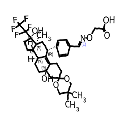 CC1(C)COC2(CCC3=C4[C@@H](CC[C@@]3(O)C2)[C@@H]2CC[C@@](O)(C(F)(F)C(F)(F)F)[C@@]2(C)C[C@@H]4c2ccc(/C=N/OCC(=O)O)cc2)OC1